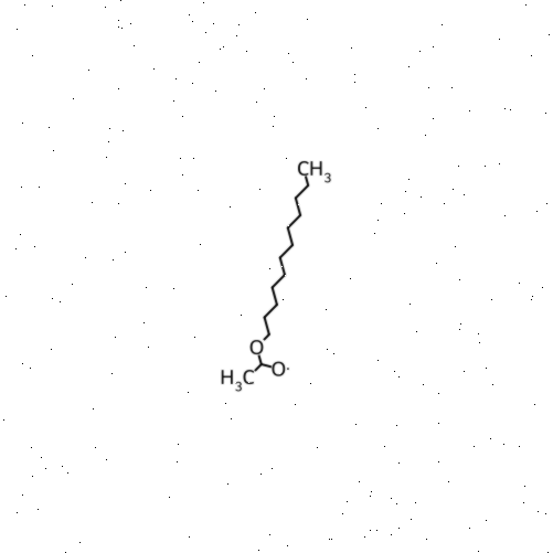 CCCCCCCCCCCCOC(C)[O]